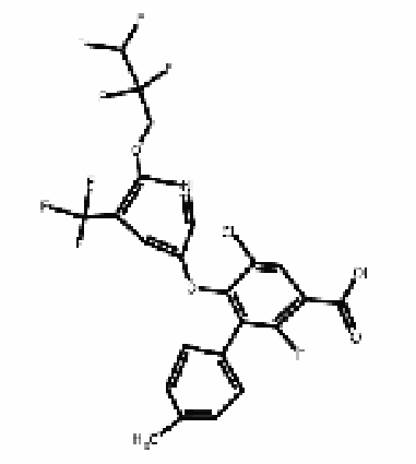 Cc1ccc(-c2c(F)c(C(=O)O)cc(Cl)c2Oc2cnc(OCC(F)(F)C(F)F)c(C(F)(F)F)c2)cc1